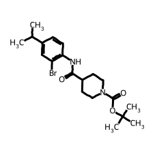 CC(C)c1ccc(NC(=O)C2CCN(C(=O)OC(C)(C)C)CC2)c(Br)c1